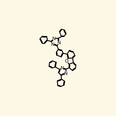 c1ccc(-c2cc(-c3ccccc3)nc(-c3cccc4c3oc3c(-c5cccc(-c6nc(-c7ccccc7)nc(-c7ccccc7)n6)c5)cccc34)n2)cc1